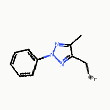 Cc1nn(-c2ccccc2)nc1CC(C)C